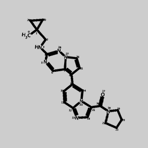 CC1(CNc2ncc3c(-c4ccc5ncc(C(=O)N6CCCC6)n5c4)ccn3n2)CC1